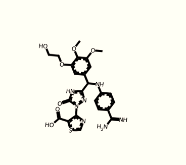 COc1cc(C(Nc2ccc(C(=N)N)cc2)c2nn(-c3ncsc3C(=O)O)c(=O)[nH]2)cc(OCCO)c1OC